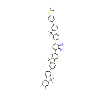 Cc1ccc2c(c1)C(C)(C)c1cc(-c3ccc4c(c3)C(C)(C)c3cc(-c5ccc(-c6ccc7c(c6)C(C)(C)c6cc(-c8ccc(SC(C)C)cc8)ccc6-7)c6nsnc56)ccc3-4)ccc1-2